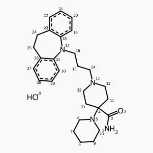 Cl.NC(=O)C1(N2CCCCC2)CCN(CCCN2c3ccccc3CCc3ccccc32)CC1